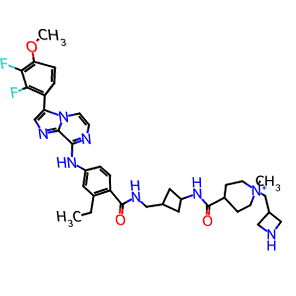 CCc1cc(Nc2nccn3c(-c4ccc(OC)c(F)c4F)cnc23)ccc1C(=O)NCC1CC(NC(=O)C2CC[N+](C)(CC3CNC3)CC2)C1